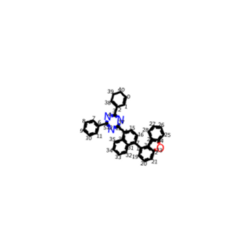 C1=CC(c2nc(-c3ccccc3)nc(-c3ccc(-c4cccc5oc6ccccc6c45)c4ccccc34)n2)=CCC1